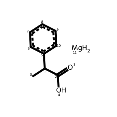 CC(C(=O)O)c1ccccc1.[MgH2]